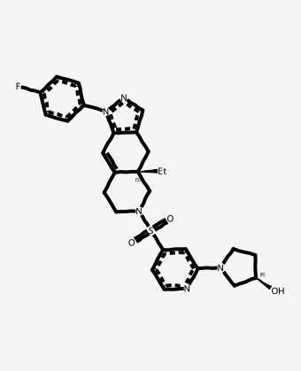 CC[C@]12Cc3cnn(-c4ccc(F)cc4)c3C=C1CCN(S(=O)(=O)c1ccnc(N3CC[C@@H](O)C3)c1)C2